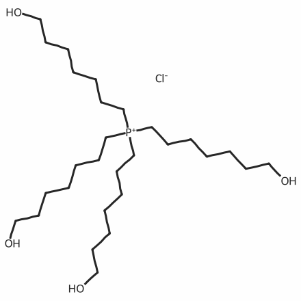 OCCCCCCC[P+](CCCCCCCO)(CCCCCCCO)CCCCCCCO.[Cl-]